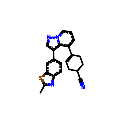 Cc1nc2ccc(-c3cnn4cccc(C5=CCC(C#N)CC5)c34)cc2s1